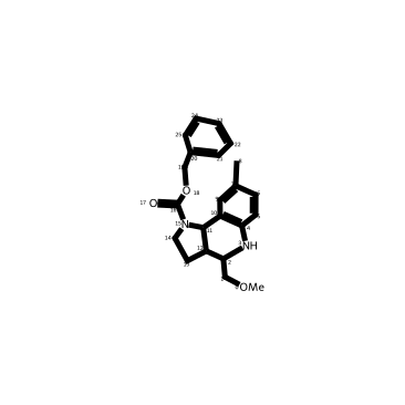 COCC1Nc2ccc(C)cc2C2C1CCN2C(=O)OCc1ccccc1